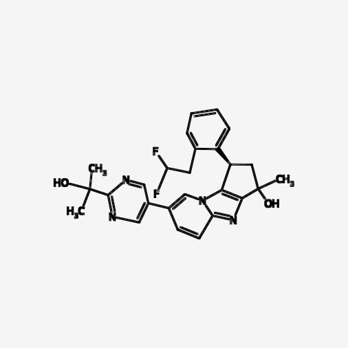 CC(C)(O)c1ncc(-c2ccc3nc4c(n3c2)[C@@H](c2ccccc2CC(F)F)CC4(C)O)cn1